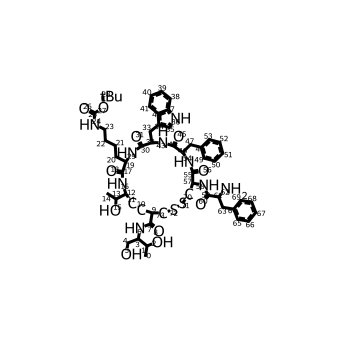 CC(O)C(CO)NC(=O)C1CCC(C(C)O)NC(=O)C(CCCCNC(=O)OC(C)(C)C)NC(=O)C(Cc2c[nH]c3ccccc23)NC(=O)C(Cc2ccccc2)NC(=O)C(NC(=O)C(N)Cc2ccccc2)CSSC1